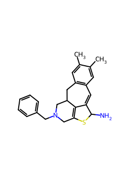 Cc1cc2c(cc1C)CC1CN(Cc3ccccc3)CC3=C1C(=C2)C(N)S3